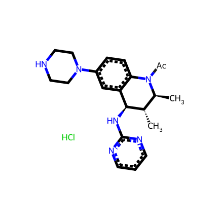 CC(=O)N1c2ccc(N3CCNCC3)cc2[C@H](Nc2ncccn2)[C@@H](C)[C@@H]1C.Cl